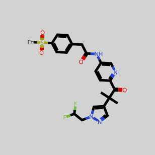 CCS(=O)(=O)c1ccc(CC(=O)Nc2ccc(C(=O)C(C)(C)c3cnn(CC(F)F)c3)nc2)cc1